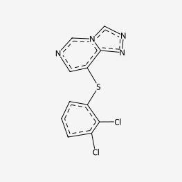 Clc1cccc(Sc2cncn3cnnc23)c1Cl